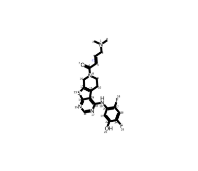 CN(C)C/C=C/C(=O)N1CCc2c(sc3ncnc(Nc4cc(O)c(F)cc4F)c23)C1